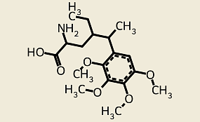 CCC(CC(N)C(=O)O)C(C)c1cc(OC)c(OC)c(OC)c1OC